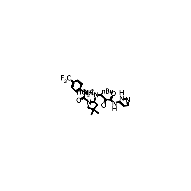 CCCC[C@@H](C(=O)C(=O)Nc1ccn[nH]1)N(C(=O)O)C1CC(C)(C)CN1C(=O)Nc1ccc(C(F)(F)F)cc1